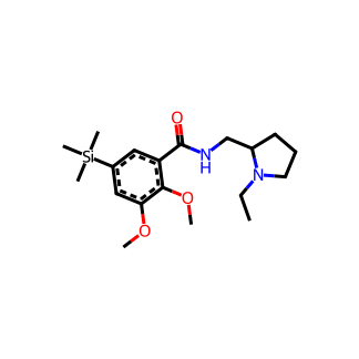 CCN1CCCC1CNC(=O)c1cc([Si](C)(C)C)cc(OC)c1OC